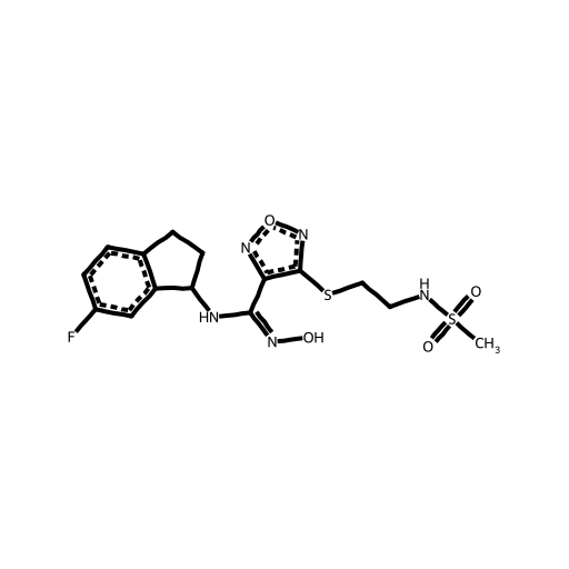 CS(=O)(=O)NCCSc1nonc1/C(=N\O)NC1CCc2ccc(F)cc21